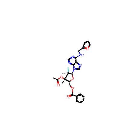 CC(=O)O[C@@]1(C)[C@@H](COC(=O)c2ccccc2)O[C@H](n2cnc3c(NCc4ccco4)ncnc32)[C@]1(C)F